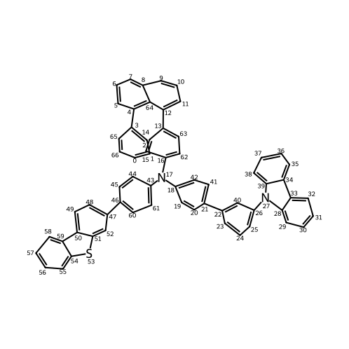 c1ccc(-c2cccc3cccc(-c4ccc(N(c5ccc(-c6cccc(-n7c8ccccc8c8ccccc87)c6)cc5)c5ccc(-c6ccc7c(c6)sc6ccccc67)cc5)cc4)c23)cc1